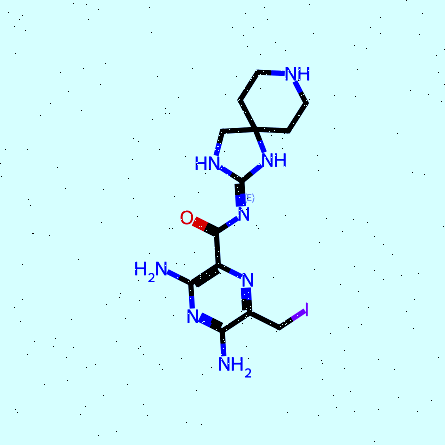 Nc1nc(N)c(C(=O)/N=C2\NCC3(CCNCC3)N2)nc1CI